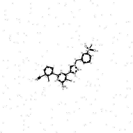 Cc1c(C#N)cccc1-c1nc(N)c(F)c(-c2cn(Cc3cccc(S(C)(=O)=O)c3)nn2)n1